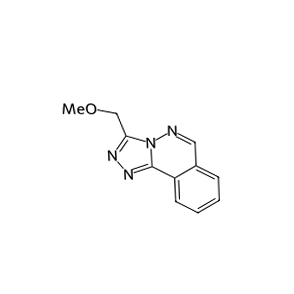 COCc1nnc2c3ccccc3cnn12